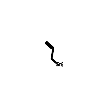 C=C[CH2][Sn]